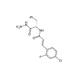 CC(C)C[C@H](NC(=O)/C=C/c1ccc(Cl)cc1F)C(=O)NN